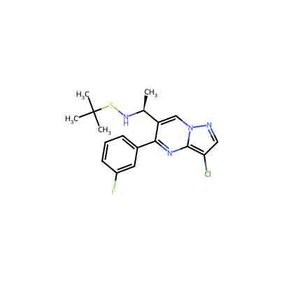 C[C@H](NSC(C)(C)C)c1cn2ncc(Cl)c2nc1-c1cccc(F)c1